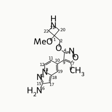 COC1(COc2noc(C)c2-c2ccn3nc(N)cc3c2)CNC1